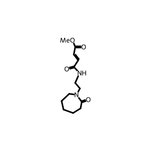 COC(=O)C=CC(=O)NCCN1CCCCCC1=O